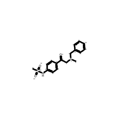 CN(CC(=O)c1ccc(NS(C)(=O)=O)cc1)Cc1ccccc1